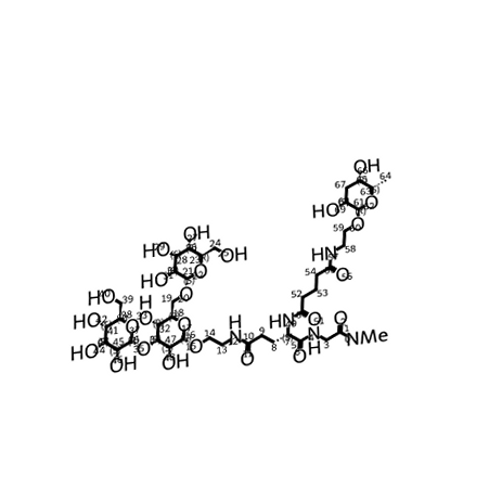 CNC(=O)CNC(=O)[C@H](CCC(=O)NCCO[C@H]1O[C@H](CO[C@H]2O[C@H](CO)[C@@H](O)[C@H](O)[C@@H]2O)[C@@H](O)[C@H](O[C@H]2O[C@H](CO)[C@@H](O)[C@H](O)[C@@H]2O)[C@@H]1O)NC(=O)CCCC(=O)NCCO[C@@H]1O[C@@H](C)[C@@H](O)C[C@@H]1O